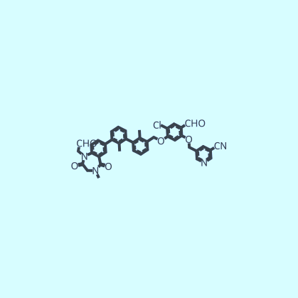 Cc1c(COc2cc(OCc3cncc(C#N)c3)c(C=O)cc2Cl)cccc1-c1cccc(-c2ccc3c(c2)C(=O)N(C)CC(=O)N3CC=O)c1C